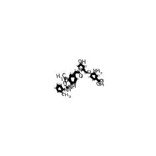 COc1cc(CC(=O)N2CC(O)CC2COc2ccc(C(=O)O)cc2N)ccc1NC(=O)Nc1ccccc1C